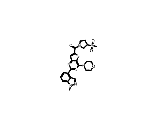 Cn1ncc2c(-c3nc(N4CCOCC4)c4sc(C(=O)N5CCC(S(C)(=O)=O)C5)cc4n3)cccc21